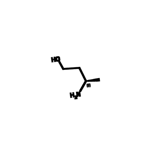 C[C@@H](N)CCO